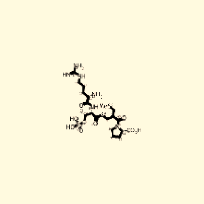 CSCC(CSC(=O)[C@@H](NC(=O)[C@@H](N)CCCNC(=N)N)[C@@H](C)OP(=O)(O)O)C(=O)N1CCC[C@H]1C(=O)O